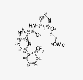 COCCOc1cc(NC(=O)c2cnc3ccc(-c4ccccc4C(F)(F)F)nn23)ncn1